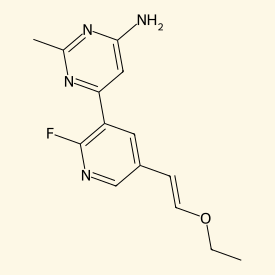 CCOC=Cc1cnc(F)c(-c2cc(N)nc(C)n2)c1